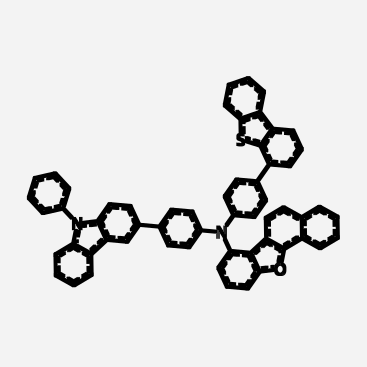 c1ccc(-n2c3ccccc3c3cc(-c4ccc(N(c5ccc(-c6cccc7c6sc6ccccc67)cc5)c5cccc6oc7c8ccccc8ccc7c56)cc4)ccc32)cc1